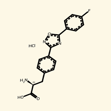 Cl.N[C@@H](Cc1ccc(-c2noc(-c3ccc(F)cc3)n2)cc1)C(=O)O